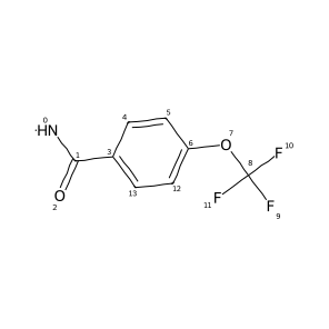 [NH]C(=O)c1ccc(OC(F)(F)F)cc1